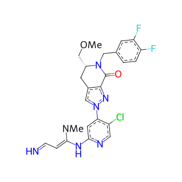 CN/C(=C\C=N)Nc1cc(-n2cc3c(n2)C(=O)N(Cc2ccc(F)c(F)c2)[C@@H](COC)C3)c(Cl)cn1